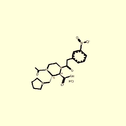 CC(=O)N1CCN(C(=O)Cc2cccc([N+](=O)[O-])c2)[C@@H](C(=O)O)[C@@H]1CN1CCCC1.Cl